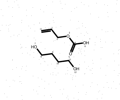 C=CCOC(=O)O.OCCCCO